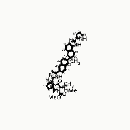 COC(=O)N[C@H](C(=O)N1[C@@H]2CC[C@@H](C2)[C@H]1c1ncc(-c2ccc3cc(C4(C)C=Cc5c(ccc6nc([C@@H]7CCCN7)[nH]c56)C4)ccc3c2)[nH]1)[C@@H](C)OC